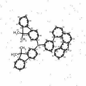 CC1(C)c2ccccc2-c2ccc(N(c3cccc(-c4cccc5ccc6sc7ccccc7c6c45)c3)c3ccc4c(c3)C(C)(C)c3ccccc3-4)cc21